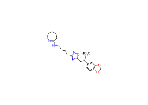 O=C(O)CC(Cc1nc(CCCCNC2=NCCCCC2)no1)c1ccc2c(c1)OCO2